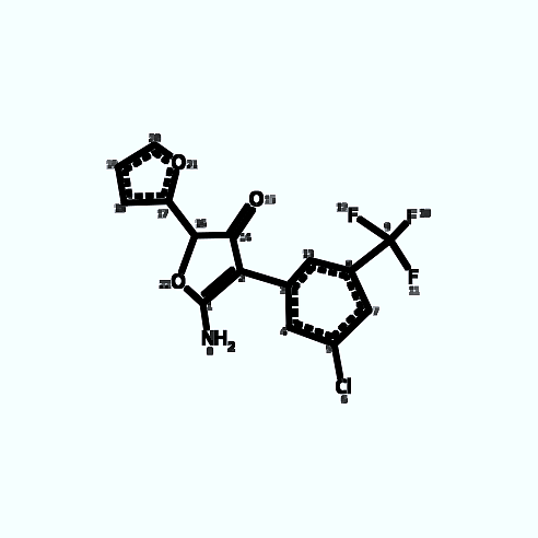 NC1=C(c2cc(Cl)cc(C(F)(F)F)c2)C(=O)C(c2ccco2)O1